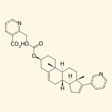 C[C@]12CC[C@H](OC(=O)OCc3ncccc3C(=O)O)CC1=CC[C@@H]1[C@@H]2CC[C@]2(C)C(c3cccnc3)=CC[C@@H]12